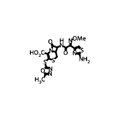 CON=C(C(=O)NC1C(=O)N2C(C(=O)O)=C(Sc3nnc(C)o3)SCC12)c1csc(N)n1